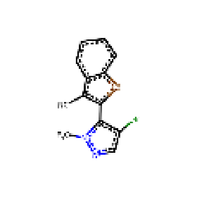 N#Cc1c(-c2c(Br)cnn2C(F)(F)F)sc2ccccc12